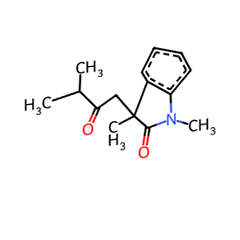 CC(C)C(=O)CC1(C)C(=O)N(C)c2ccccc21